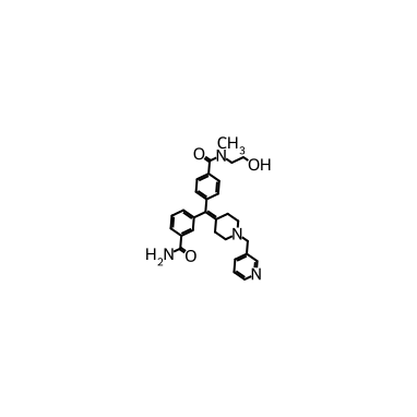 CN(CCO)C(=O)c1ccc(C(=C2CCN(Cc3cccnc3)CC2)c2cccc(C(N)=O)c2)cc1